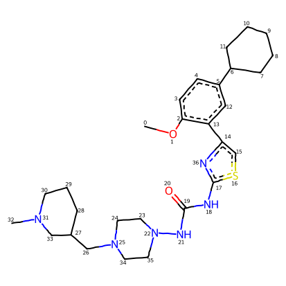 COc1ccc(C2CCCCC2)cc1-c1csc(NC(=O)NN2CCN(CC3CCCN(C)C3)CC2)n1